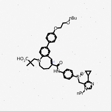 CCCCOCCOc1ccc(-c2ccc3c(c2)/C=C(/C(=O)Nc2ccc([S@@+]([O-])Cc4c(C5CC5)ncn4CCC)cc2)CCCN3CC(C)(C)C(=O)O)cc1